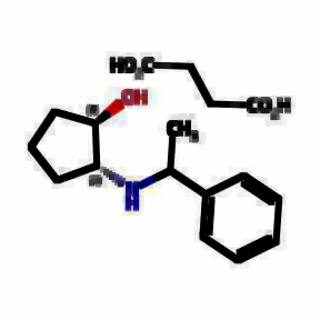 CC(N[C@@H]1CCC[C@H]1O)c1ccccc1.O=C(O)CCC(=O)O